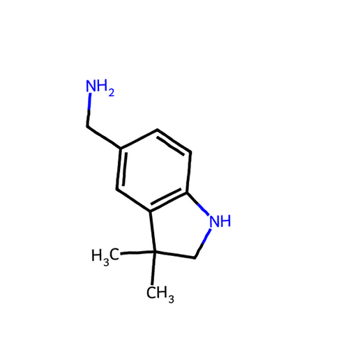 CC1(C)CNc2ccc(CN)cc21